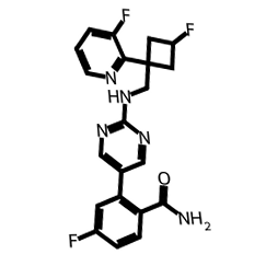 NC(=O)c1ccc(F)cc1-c1cnc(NCC2(c3ncccc3F)CC(F)C2)nc1